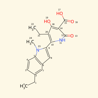 CCc1ccc2c(c1)cc(-c1[nH]c(=O)c(C(=O)O)c(O)c1CC)n2C